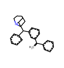 C=C(c1ccccc1)c1cccc(C(c2ccccc2)C2CC3CCN2CC3)c1